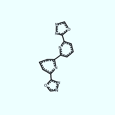 c1cc(-c2cccc(-c3nnco3)n2)nc(-c2nnco2)c1